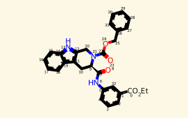 CCOC(=O)c1cccc(NC(=O)[C@H]2Cc3c([nH]c4ccccc34)CN2C(=O)OCc2ccccc2)c1